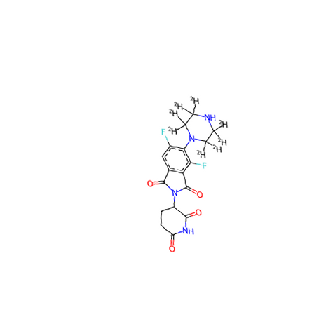 [2H]C1([2H])NC([2H])([2H])C([2H])([2H])N(c2c(F)cc3c(c2F)C(=O)N(C2CCC(=O)NC2=O)C3=O)C1([2H])[2H]